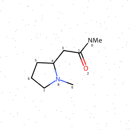 CNC(=O)CC1CCCN1C